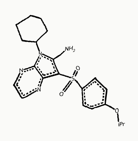 CC(C)Oc1ccc(S(=O)(=O)c2c(N)n(C3CCCCC3)c3nccnc23)cc1